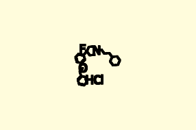 Cl.FC1(c2cccc(OCc3ccccc3)c2)CCN(CCCC2CCCCC2)CC1